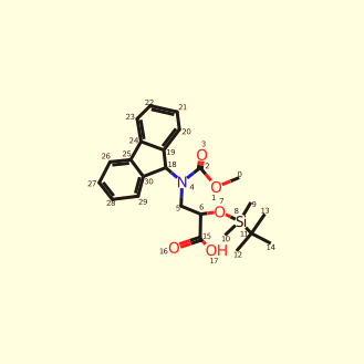 COC(=O)N(CC(O[Si](C)(C)C(C)(C)C)C(=O)O)C1c2ccccc2-c2ccccc21